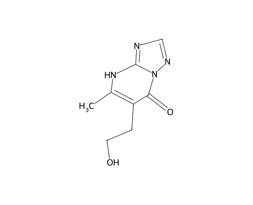 Cc1[nH]c2ncnn2c(=O)c1CCO